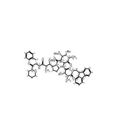 CC[C@H](C)[C@@H]([C@@H](CC(=O)N1CCC[C@H]1[C@H](OC)[C@@H](C)C(=O)N[C@@H](Cc1ccccc1)C(=O)N1CCCCO1)OC)N(C)C(=O)[C@@H](NC(=O)[C@H](C(C)C)N(C)C(=O)OCC1c2ccccc2-c2ccccc21)C(C)C